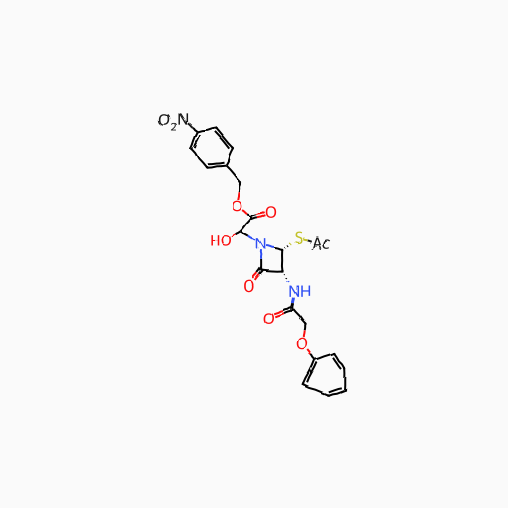 CC(=O)S[C@@H]1[C@H](NC(=O)COc2ccccc2)C(=O)N1C(O)C(=O)OCc1ccc([N+](=O)[O-])cc1